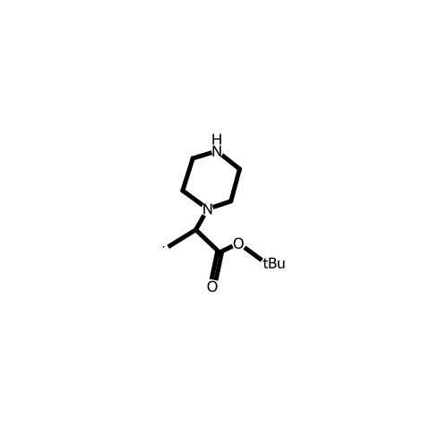 [CH2]C(C(=O)OC(C)(C)C)N1CCNCC1